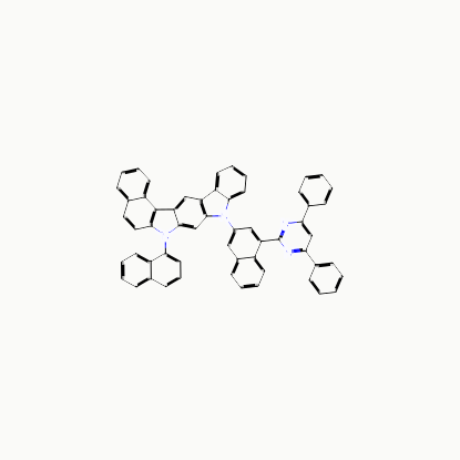 c1ccc(-c2cc(-c3ccccc3)nc(-c3cc(-n4c5ccccc5c5cc6c7c8ccccc8ccc7n(-c7cccc8ccccc78)c6cc54)cc4ccccc34)n2)cc1